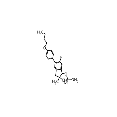 CCCCOc1ccc(-c2cc3c(cc2F)C(OC(N)=O)C(C)(C)C3)cc1